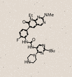 CCn1c(=O)c(-c2ccc(F)c(NC(=O)Nc3cnc(C(C)(C)C)nc3N3CCNCC3)c2)cc2cnc(NC)nc21